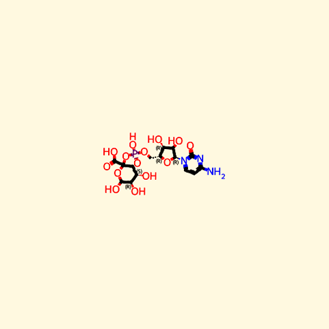 Nc1ccn([C@@H]2O[C@H](COP(=O)(O)OC3(C(=O)O)C[C@H](O)[C@@H](O)C(O)O3)[C@H](O)C2O)c(=O)n1